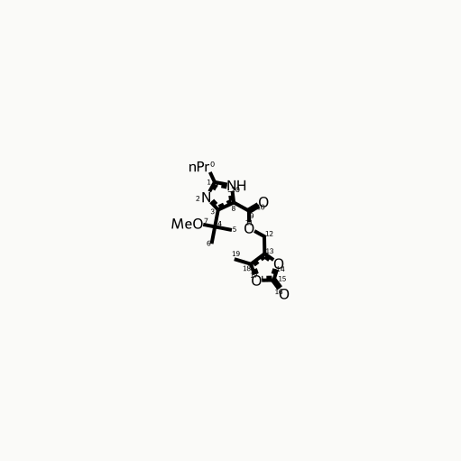 CCCc1nc(C(C)(C)OC)c(C(=O)OCc2oc(=O)oc2C)[nH]1